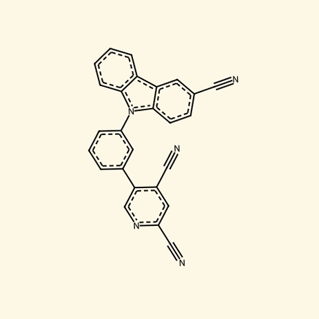 N#Cc1ccc2c(c1)c1ccccc1n2-c1cccc(-c2cnc(C#N)cc2C#N)c1